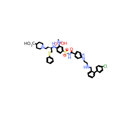 C[N+]([O-])(O)c1cc(S(=O)(=O)NC(=O)c2ccc(NCCNCc3ccccc3-c3ccc(Cl)cc3)cc2)ccc1N[C@H](CCN1CCC(C(=O)O)CC1)CSc1ccccc1